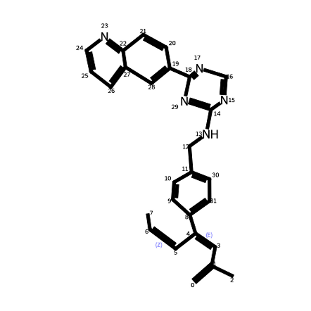 C=C(C)/C=C(\C=C/C)c1ccc(CNc2ncnc(-c3ccc4ncccc4c3)n2)cc1